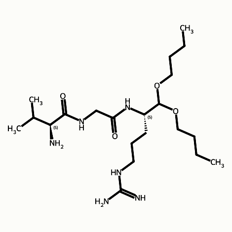 CCCCOC(OCCCC)[C@H](CCCNC(=N)N)NC(=O)CNC(=O)[C@@H](N)C(C)C